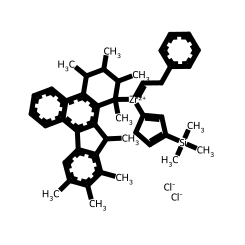 Cc1cc2c(c(C)c1C)C(C)c1c3c(c4ccccc4c1-2)C(C)C(C)C(C)[C]3(C)[Zr+2](=[CH]Cc1ccccc1)[C]1=CC([Si](C)(C)C)=CC1.[Cl-].[Cl-]